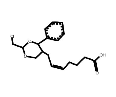 O=C(O)CCC/C=C\CC1COC(CCl)OC1c1ccccc1